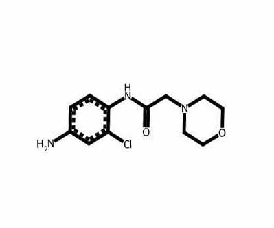 Nc1ccc(NC(=O)CN2CCOCC2)c(Cl)c1